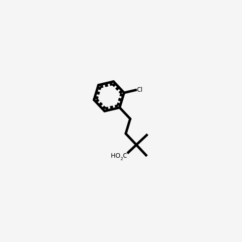 CC(C)(CCc1ccccc1Cl)C(=O)O